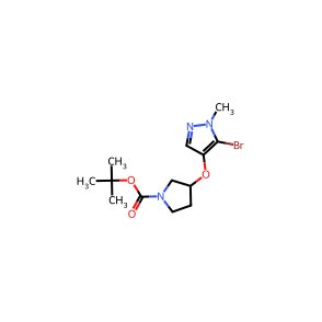 Cn1ncc(OC2CCN(C(=O)OC(C)(C)C)C2)c1Br